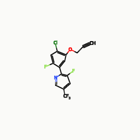 C#CCOc1cc(-c2ncc(C(F)(F)F)cc2F)c(F)cc1Cl